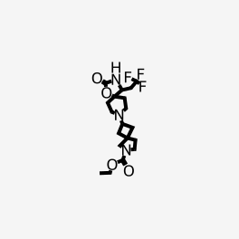 CCOC(=O)N1CCC2(CC(N3CCC4(CC3)OC(=O)NC4CC(F)(F)F)C2)C1